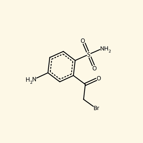 Nc1ccc(S(N)(=O)=O)c(C(=O)CBr)c1